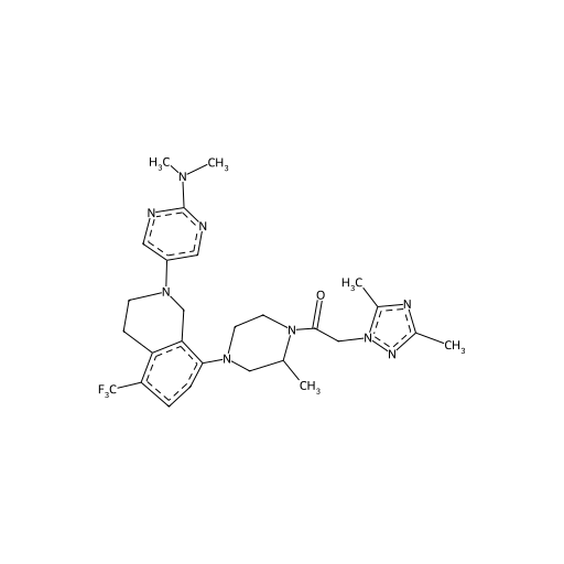 Cc1nc(C)n(CC(=O)N2CCN(c3ccc(C(F)(F)F)c4c3CN(c3cnc(N(C)C)nc3)CC4)CC2C)n1